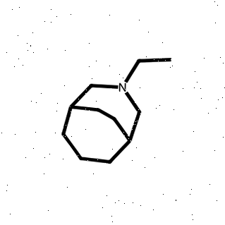 CCN1CC2CCCC(CC2)C1